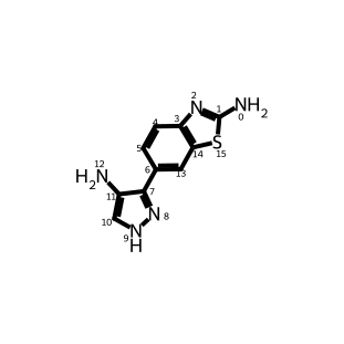 Nc1nc2ccc(-c3n[nH]cc3N)cc2s1